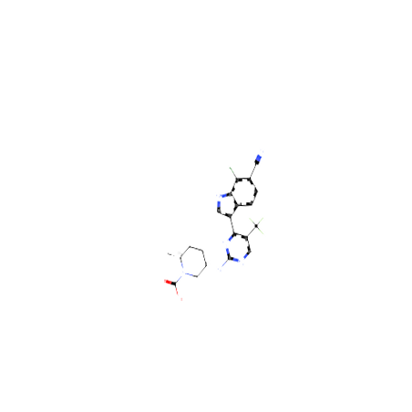 C[C@H]1CC[C@H](Nc2ncc(C(F)(F)F)c(-c3c[nH]c4c(Cl)c(C#N)ccc34)n2)CN1C(=O)O